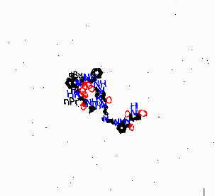 CCC[C@H](NC(=O)[C@@H]1[C@H]2CCC[C@H]2CN1C(=O)[C@@H](NC(=O)[C@@H](NC(=O)c1cnc(C(=O)NCCCN(C)CCCNc2cccc3c2CN(C2CCC(=O)NC2=O)C3=O)cn1)C1CCCCC1)C(C)(C)C)C(=O)C(=O)NC1CC1